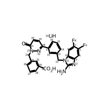 Nc1nc2cc(F)c(F)cc2n1Cc1cccc(-c2ccc(=O)n(Cc3cccc(C(=O)O)c3)n2)c1.[LiH]